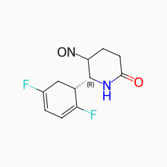 O=NC1CCC(=O)N[C@@H]1C1CC(F)=CC=C1F